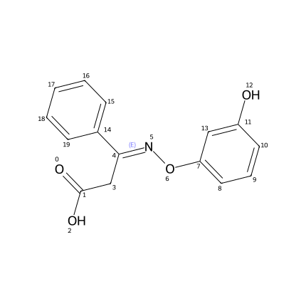 O=C(O)C/C(=N\Oc1cccc(O)c1)c1ccccc1